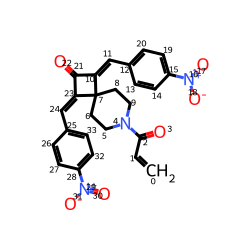 C=CC(=O)N1CCC2(CC1)/C(=C\c1ccc([N+](=O)[O-])cc1)C(=O)/C2=C/c1ccc([N+](=O)[O-])cc1